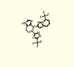 FC(F)(F)c1nnc(N2CCc3[nH]cnc3[C@H]2c2cc3cccc(C(F)(F)F)n3n2)o1